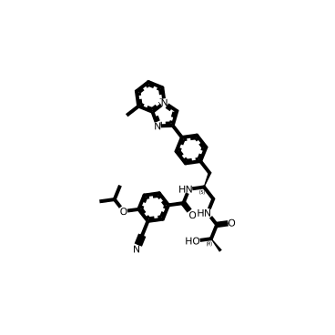 Cc1cccn2cc(-c3ccc(C[C@@H](CNC(=O)[C@@H](C)O)NC(=O)c4ccc(OC(C)C)c(C#N)c4)cc3)nc12